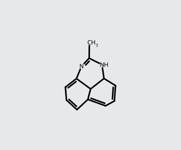 CC1=NC2=CC=CC3=CC=CC(N1)C32